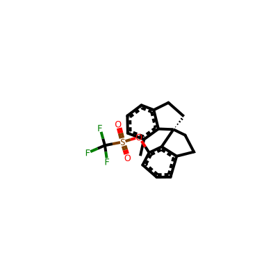 Cc1cccc2c1[C@@]1(CC2)CCc2cccc(OS(=O)(=O)C(F)(F)F)c21